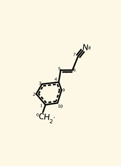 [CH2]c1ccc(C=CC#N)cc1